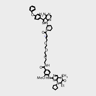 CC[C@@H]1C(=O)N(C)c2cnc(Nc3ccc(C(=O)NCCOCCOCCOC/C=C/C(=O)N4CCC[C@@H](n5nc(-c6ccc(Oc7ccccc7)cc6)c6c(N)ncnc65)C4)cc3OC)nc2N1C1CCCC1